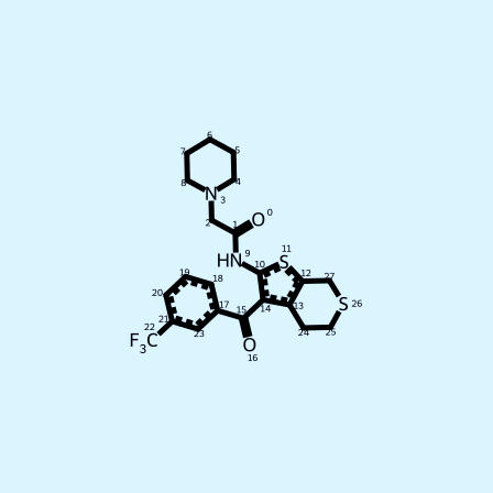 O=C(CN1CCCCC1)Nc1sc2c(c1C(=O)c1cccc(C(F)(F)F)c1)CCSC2